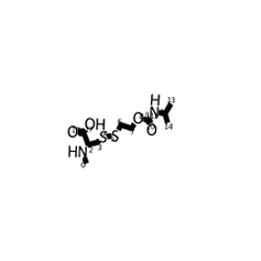 CNC(CSSCCOC(=O)NC(C)C)C(=O)O